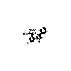 CN[C@H](C(=O)N1C[C@H](O)C[C@H]1c1nc(-c2cncnc2)c[nH]1)C(C)(C)C